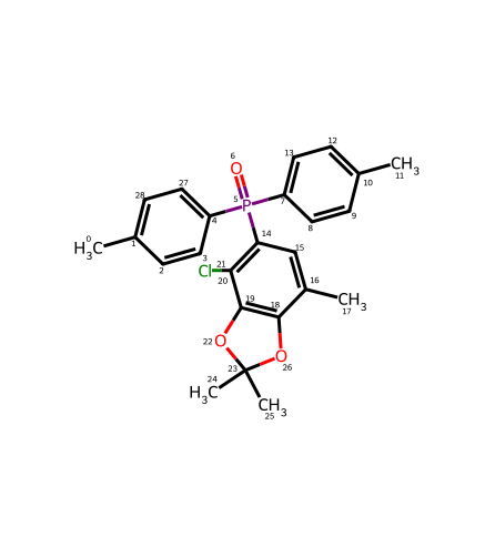 Cc1ccc(P(=O)(c2ccc(C)cc2)c2cc(C)c3c(c2Cl)OC(C)(C)O3)cc1